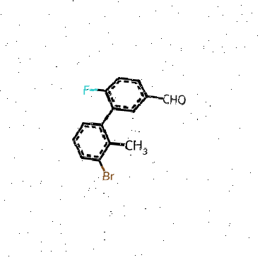 Cc1c(Br)cccc1-c1cc(C=O)ccc1F